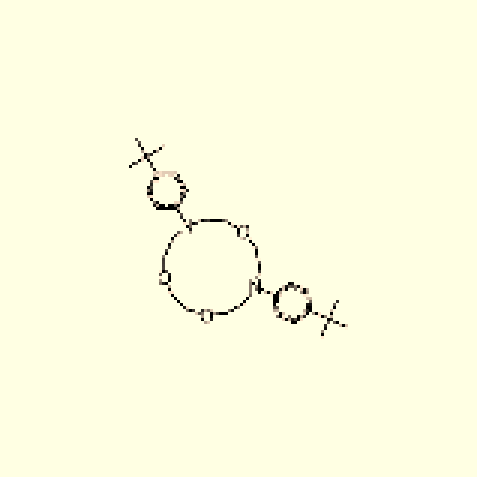 CC(C)(C)c1ccc(N2CCOCCOCCN(c3ccc(C(C)(C)C)cc3)CCOCC2)cc1